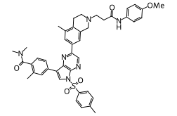 COc1ccc(NC(=O)CCN2CCc3c(C)cc(-c4cnc5c(n4)c(-c4ccc(C(=O)N(C)C)c(C)c4)cn5S(=O)(=O)c4ccc(C)cc4)cc3C2)cc1